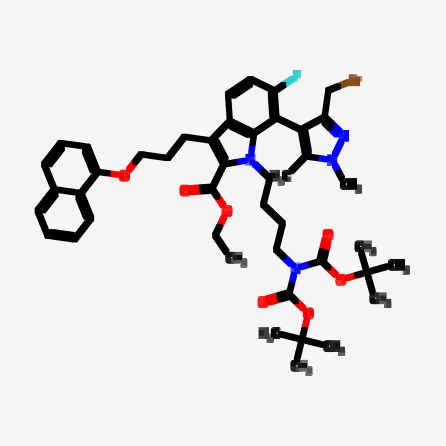 CCOC(=O)c1c(CCCOc2cccc3ccccc23)c2ccc(F)c(-c3c(CBr)nn(C)c3C)c2n1CCCCN(C(=O)OC(C)(C)C)C(=O)OC(C)(C)C